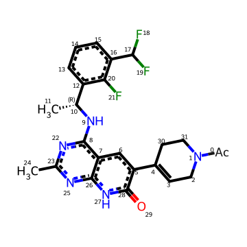 CC(=O)N1CC=C(c2cc3c(N[C@H](C)c4cccc(C(F)F)c4F)nc(C)nc3[nH]c2=O)CC1